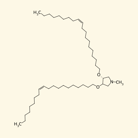 CCCCCCCC/C=C\CCCCCCCCCCOC1CN(C)C[C@H]1OCCCCCCCCCC/C=C\CCCCCCCC